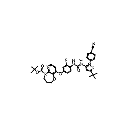 CC(C)(C)OC(=O)N1CCCOc2c(Oc3ccc(NC(=O)Nc4cc(C(C)(C)C)nn4-c4ccc(C#N)cc4)c(F)c3)ccnc21